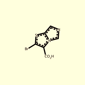 O=C(O)c1c(Br)sc2cncn12